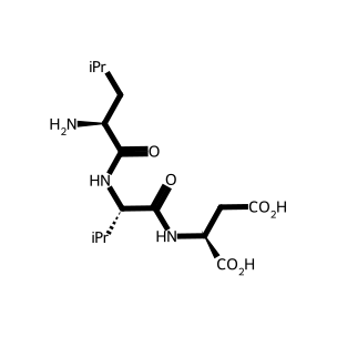 CC(C)C[C@H](N)C(=O)N[C@H](C(=O)N[C@@H](CC(=O)O)C(=O)O)C(C)C